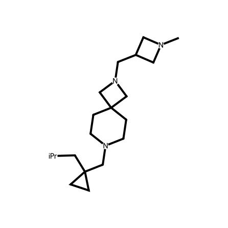 CC(C)CC1(CN2CCC3(CC2)CN(CC2CN(C)C2)C3)CC1